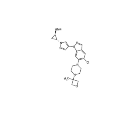 CN[C@@H]1C[C@H]1n1cc(-n2ncc3cc(Cl)c(N4CCN(C5(C)COC5)CC4)cc32)cn1